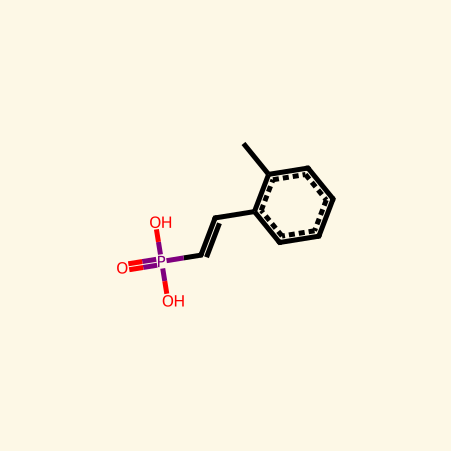 Cc1ccccc1/C=C/P(=O)(O)O